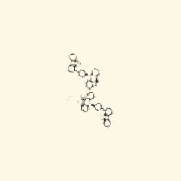 CC1(C)c2ccccc2N(c2ccc(-c3cccc4c3oc3ccccc34)cc2)c2ccc(-c3ccc4c(c3)C(C)(C)c3ccccc3N4c3ccc(-c4cccc5c4oc4ccccc45)cc3)cc21